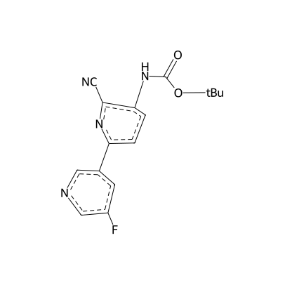 CC(C)(C)OC(=O)Nc1ccc(-c2cncc(F)c2)nc1C#N